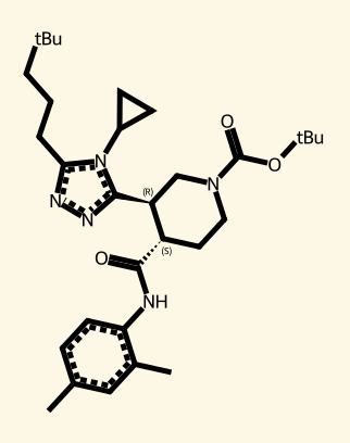 Cc1ccc(NC(=O)[C@H]2CCN(C(=O)OC(C)(C)C)C[C@@H]2c2nnc(CCCC(C)(C)C)n2C2CC2)c(C)c1